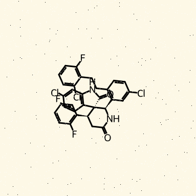 O=C1C[C@@H](c2cc(F)ccc2F)[C@]2(C(=O)Nc3cc(Cl)ccc32)[C@@H](c2cc(Cl)ccc2CCc2c(F)cccc2Cl)N1